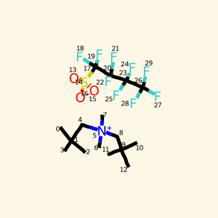 CC(C)(C)C[N+](C)(C)CC(C)(C)C.O=S(=O)([O-])C(F)(F)C(F)(F)C(F)(F)C(F)(F)F